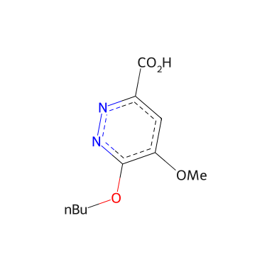 CCCCOc1nnc(C(=O)O)cc1OC